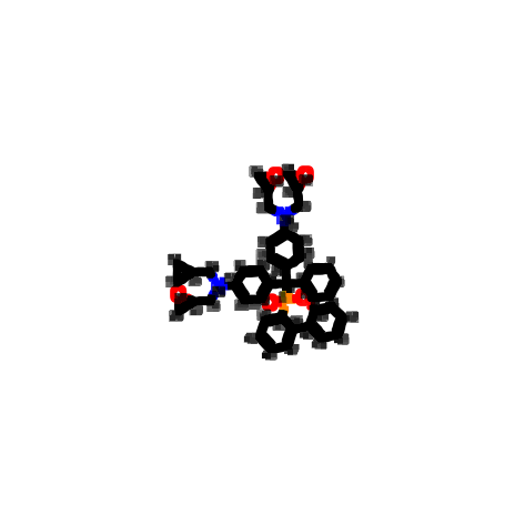 O=P1(C(c2ccccc2)(c2ccc(N(CC3CC3)CC3CO3)cc2)c2ccc(N(CC3CO3)CC3CO3)cc2)Oc2ccccc2-c2ccccc21